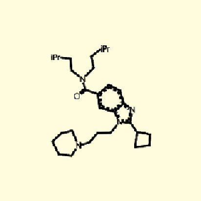 CC(C)CCN(CCC(C)C)C(=O)c1ccc2nc(C3CCC3)n(CCCN3CCCCC3)c2c1